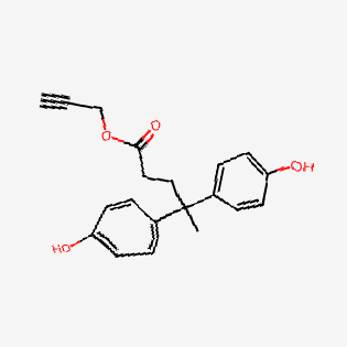 C#CCOC(=O)CCC(C)(c1ccc(O)cc1)c1ccc(O)cc1